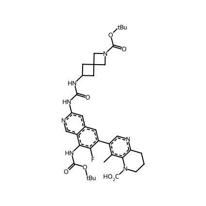 Cc1c(-c2cc3cc(NC(=O)NC4CC5(C4)CN(C(=O)OC(C)(C)C)C5)ncc3c(NC(=O)OC(C)(C)C)c2F)cnc2c1N(C(=O)O)CCC2